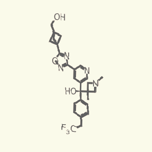 CN1CC(C)([C@](O)(c2ccc(CC(F)(F)F)cc2)c2cncc(-c3noc(C45CC(CO)(C4)C5)n3)c2)C1